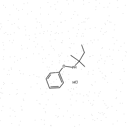 CCC(C)(C)POc1ccccc1.Cl